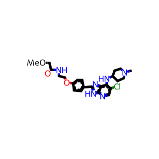 COCC(=O)NCCOc1ccc(-c2nc3c(NC4CCN(C)CC4)c(Cl)cnc3[nH]2)cc1